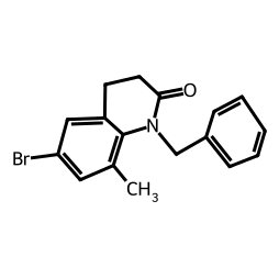 Cc1cc(Br)cc2c1N(Cc1ccccc1)C(=O)CC2